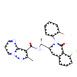 Cc1nn2cccnc2c1C(=O)N[C@@H](C)c1cc2cccc(Cl)c2c(=O)n1-c1ccccc1O